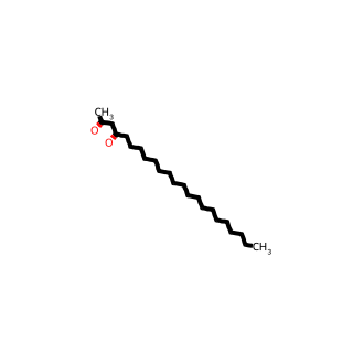 CCCCCCCCCCCCCCCCCCCC(=O)CC(C)=O